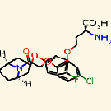 N[C@@H](CCOc1cc(Cl)ccc1OCC(=O)N1[C@@H]2CC[C@H]1CC(Oc1ccc(F)cc1)C2)C(=O)O